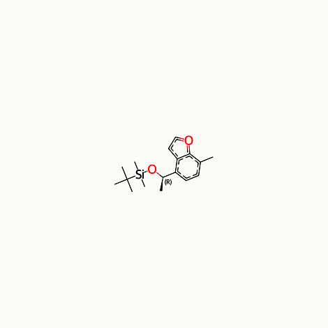 Cc1ccc([C@@H](C)O[Si](C)(C)C(C)(C)C)c2ccoc12